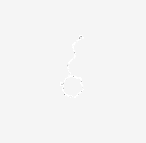 [O]CCCC1CCCCO1